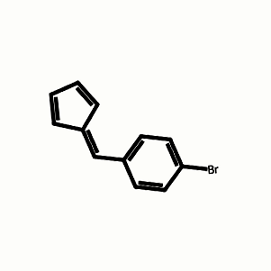 Brc1ccc(C=C2C=CC=C2)cc1